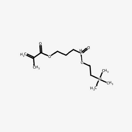 C=C(C)C(=O)OCCC[PH](=O)OCC[N+](C)(C)C